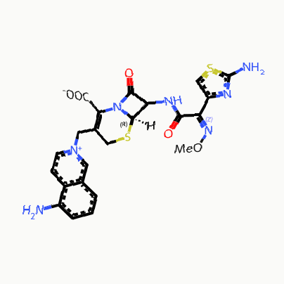 CO/N=C(\C(=O)NC1C(=O)N2C(C(=O)[O-])=C(C[n+]3ccc4c(N)cccc4c3)CS[C@H]12)c1csc(N)n1